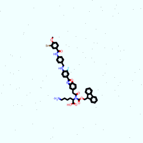 COc1ccc(C(=O)Nc2ccc(CNc3ccc(-c4nc5cc(CC(=O)N(C(=O)OCC6c7ccccc7-c7ccccc76)C(CCCCN)C(=O)O)ccc5o4)cc3F)cc2)cc1Br